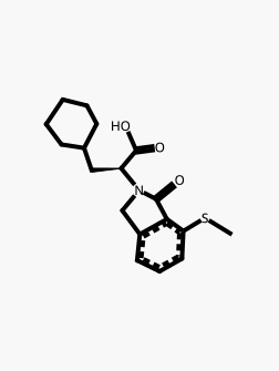 CSc1cccc2c1C(=O)N([C@@H](CC1CCCCC1)C(=O)O)C2